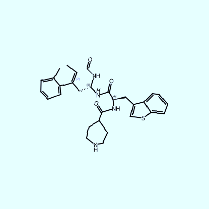 C/C=C(/C[C@H](NC=O)NC(=O)[C@@H](Cc1csc2ccccc12)NC(=O)C1CCNCC1)c1ccccc1C